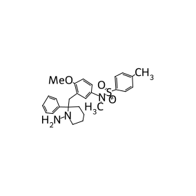 COc1ccc(N(C)S(=O)(=O)c2ccc(C)cc2)cc1CC1(c2ccccc2)CCCCN1N